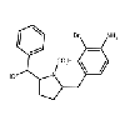 Nc1ccc(CC2CCC(C(O)c3ccccc3)N2C(=O)O)cc1Br